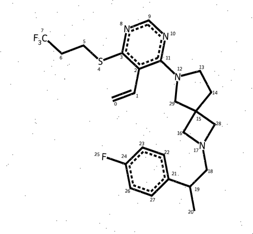 C=Cc1c(SCCC(F)(F)F)ncnc1N1CCC2(CN(CC(C)c3ccc(F)cc3)C2)C1